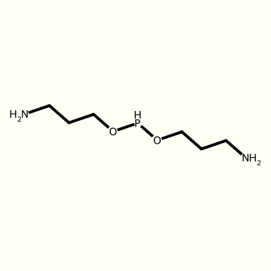 NCCCOPOCCCN